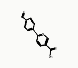 O=Cc1ccc(-c2ccc(C(=O)O)cn2)cc1